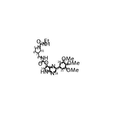 CCNC(=O)N1CCC(CNC(=O)Oc2c[nH]c3ncc(-c4cc(OC)c(OC)c(OC)c4)nc23)C1